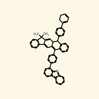 CC1(C)C2=CC3C(=C(c4ccc(-c5cccc6c5sc5ccccc56)cc4)c4ccccc4C3c3ccc(C4=CC=CCC4)cc3)C=C2c2ccccc21